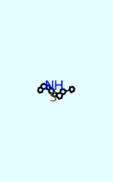 c1ccc(-c2ccc3c(ccc4sc5cc6c(cc5c43)[nH]c3ccc4ccccc4c36)c2)cc1